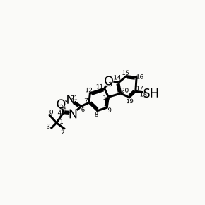 CC(C)(C)c1nc(-c2ccc3c(c2)oc2ccc(S)cc23)no1